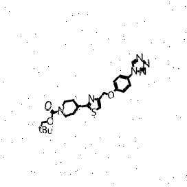 CC(C)(C)COC(=O)N1CCC(c2nc(COc3ccc(-n4cnnn4)cc3)cs2)CC1